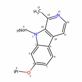 CCCCCCCCCn1c2cc(OC(C)C)ccc2c2ccnc(C)c21